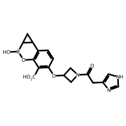 O=C(O)c1c(OC2CN(C(=O)Cc3c[nH]cn3)C2)ccc2c1OB(O)C1CC21